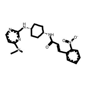 CN(C)c1ccnc(N[C@H]2CC[C@@H](NC(=O)/C=C/c3ccccc3[N+](=O)[O-])CC2)n1